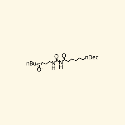 CCCCCCCCCCCCCCCC(=O)NC(=O)NCCC[S+]([O-])CCCC